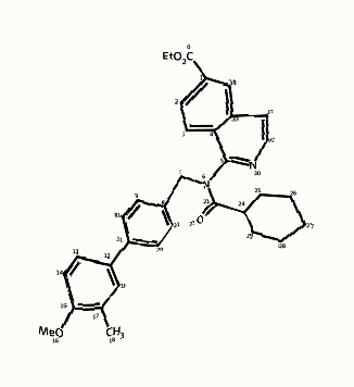 CCOC(=O)c1ccc2c(N(Cc3ccc(-c4ccc(OC)c(C)c4)cc3)C(=O)C3CCCCC3)nccc2c1